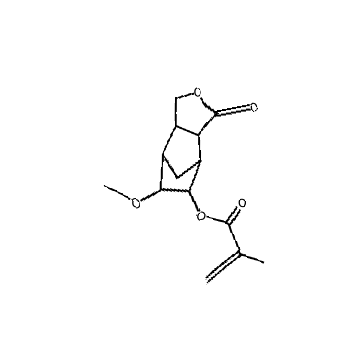 C=C(C)C(=O)OC1C2CC(C3COC(=O)C32)C1OC